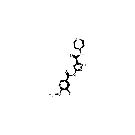 COc1ccc(C(=O)Nc2cc(C(=O)NC3CCOCC3)[nH]n2)cc1Cl